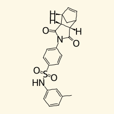 Cc1cccc(NS(=O)(=O)c2ccc(N3C(=O)[C@@H]4[C@@H]5C=CC(C5)[C@@H]4C3=O)cc2)c1